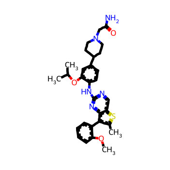 COc1ccccc1-c1c(C)sc2cnc(Nc3ccc(C4CCN(CC(N)=O)CC4)cc3OC(C)C)nc12